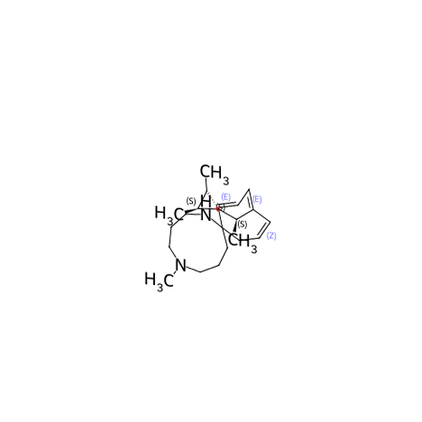 CC1[C@H]([C@H](C)C2=C\C=C\C3(C/C=C\2)CCCN(C)CCCN3)[C@H]1C